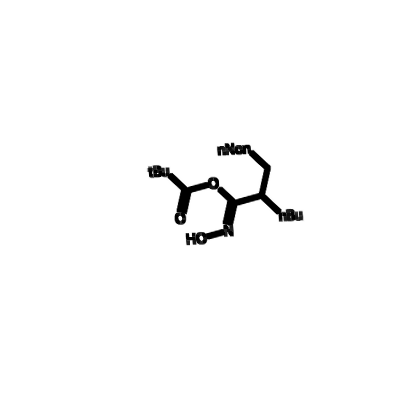 CCCCCCCCCCC(CCCC)C(=NO)OC(=O)C(C)(C)C